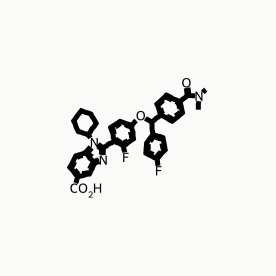 CN(C)C(=O)c1ccc(C(Oc2ccc(-c3nc4cc(C(=O)O)ccc4n3C3CCCCC3)c(F)c2)c2ccc(F)cc2)cc1